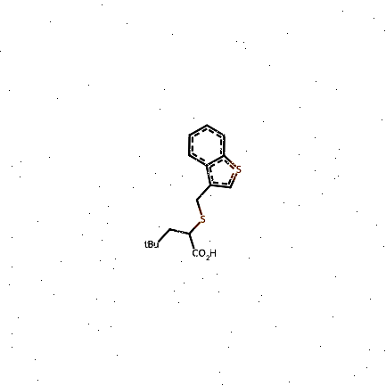 CC(C)(C)CC(SCc1csc2ccccc12)C(=O)O